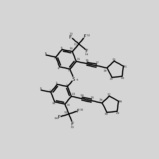 Cc1cc(Sc2cc(C)cc(C(F)(F)F)c2C#CC2CCCC2)c(C#CC2CCCC2)c(C(F)(F)F)c1